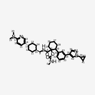 CNC(=O)OC1(C(=O)NC[C@H]2CC[C@H](c3ccc(N(C)C)nc3)CC2)CCCCC1c1cccc(-c2cnn(C3CC3)c2)c1